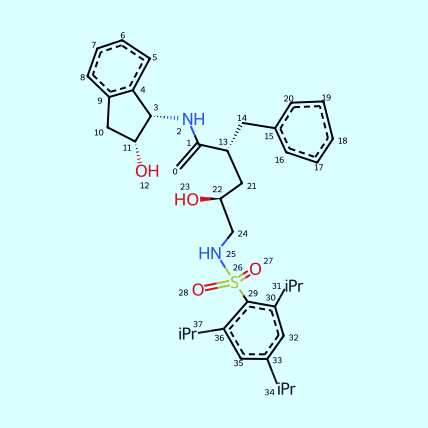 C=C(N[C@H]1c2ccccc2C[C@H]1O)[C@H](Cc1ccccc1)C[C@H](O)CNS(=O)(=O)c1c(C(C)C)cc(C(C)C)cc1C(C)C